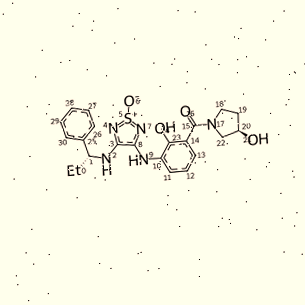 CC[C@@H](Nc1n[s+]([O-])nc1Nc1cccc(C(=O)N2CC[C@@H](O)C2)c1O)c1ccccc1